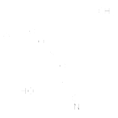 Cc1ccc(S(=O)(=O)C(CC2OCCO2)C(O)C2CN3CCC2CC3)cc1